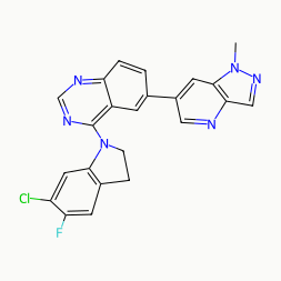 Cn1ncc2ncc(-c3ccc4ncnc(N5CCc6cc(F)c(Cl)cc65)c4c3)cc21